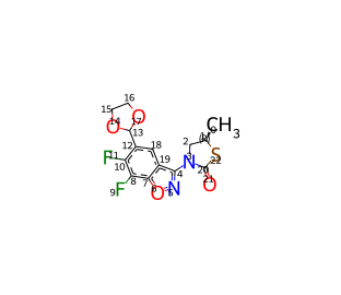 C[C@@H]1CN(c2noc3c(F)c(F)c(C4OCCO4)cc23)C(=O)S1